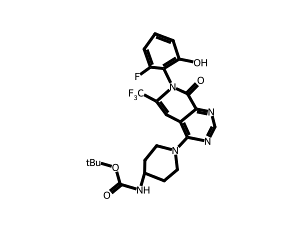 CC(C)(C)OC(=O)NC1CCN(c2ncnc3c(=O)n(-c4c(O)cccc4F)c(C(F)(F)F)cc23)CC1